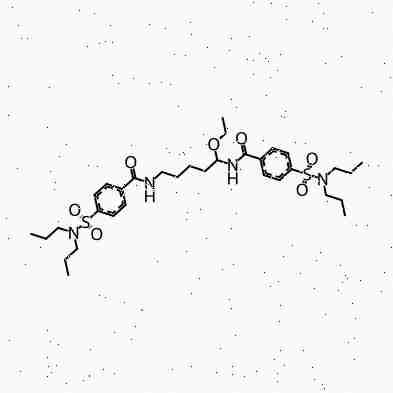 CCCN(CCC)S(=O)(=O)c1ccc(C(=O)NCCCCC(NC(=O)c2ccc(S(=O)(=O)N(CCC)CCC)cc2)OCC)cc1